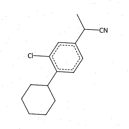 CC(C#N)c1ccc(C2CCCCC2)c(Cl)c1